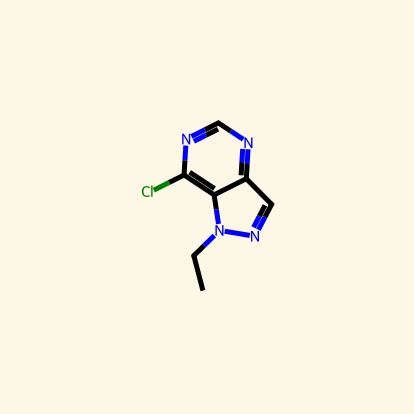 CCn1ncc2ncnc(Cl)c21